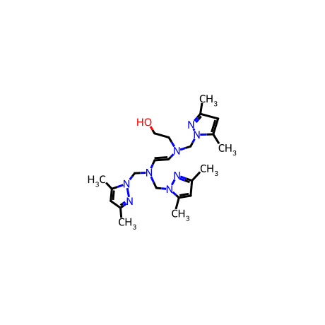 Cc1cc(C)n(CN(C=CN(Cn2nc(C)cc2C)Cn2nc(C)cc2C)CCO)n1